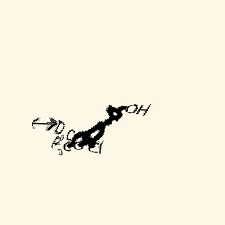 O=C(O)C1=Cc2cc(/C=C/c3ccc(CO)cc3)cc(Cl)c2OC1C(F)(F)F